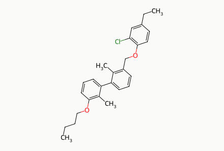 CCCCOc1cccc(-c2cccc(COc3ccc(CC)cc3Cl)c2C)c1C